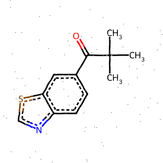 CC(C)(C)C(=O)c1ccc2ncsc2c1